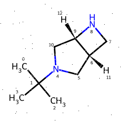 CC(C)(C)N1C[C@H]2CN[C@H]2C1